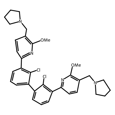 COc1nc(-c2cccc(-c3cccc(-c4ccc(CN5CCCC5)c(OC)n4)c3Cl)c2Cl)ccc1CN1CCCC1